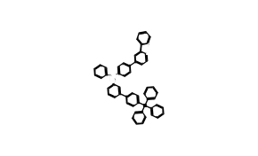 c1ccc(N(c2ccc(-c3ccc4oc5ccccc5c4c3)cc2)c2cccc(-c3ccc(C(c4ccccc4)(c4ccccc4)c4ccccc4)cc3)c2)cc1